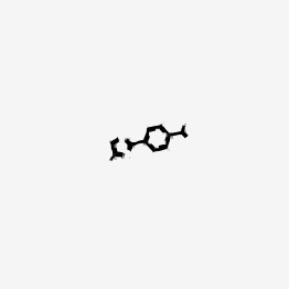 C=C(C)c1ccc(-c2nc(C(=O)O)cs2)cc1